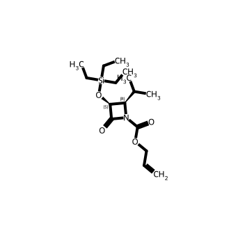 C=CCOC(=O)N1C(=O)[C@@H](O[Si](CC)(CC)CC)[C@H]1C(C)C